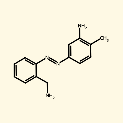 Cc1ccc(N=Nc2ccccc2CN)cc1N